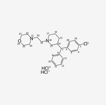 Cl.Cl.Clc1ccc(C(c2ccccc2)C2CCCN(CCN3CCOCC3)C2)cc1